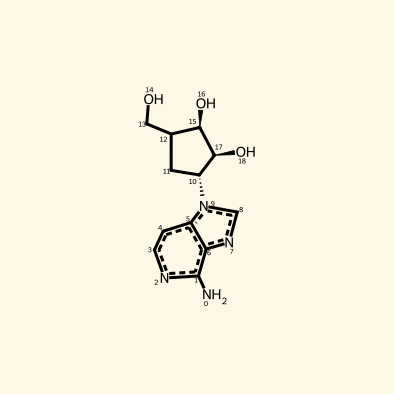 Nc1nccc2c1ncn2[C@@H]1CC(CO)[C@@H](O)[C@H]1O